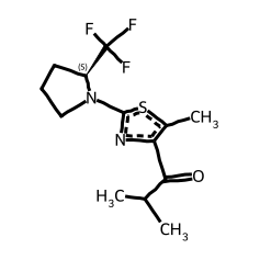 Cc1sc(N2CCC[C@H]2C(F)(F)F)nc1C(=O)C(C)C